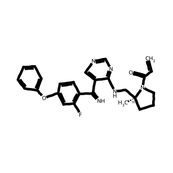 C=CC(=O)N1CCC[C@@]1(C)CNc1ncncc1C(=N)c1ccc(Oc2ccccc2)cc1F